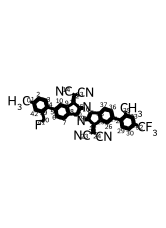 Cc1ccc(-c2ccc3c(c2)C(=C(C#N)C#N)c2nc4c(nc2-3)C(=C(C#N)C#N)c2cc(-c3ccc(C(F)(F)F)cc3C)ccc2-4)c(CF)c1